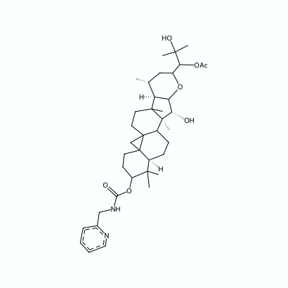 CC(=O)OC(C1C[C@@H](C)[C@H]2C(O1)[C@H](O)[C@@]1(C)C3CC[C@H]4C(C)(C)C(OC(=O)NCc5ccccn5)CCC45CC35CCC21C)C(C)(C)O